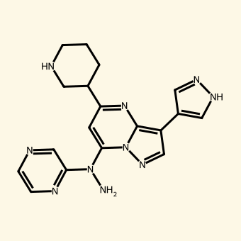 NN(c1cnccn1)c1cc(C2CCCNC2)nc2c(-c3cn[nH]c3)cnn12